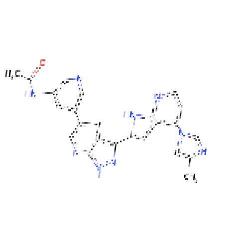 CC(=O)Nc1cncc(-c2cnc3[nH]nc(-c4cc5c(-n6cnc(C)c6)ccnc5[nH]4)c3c2)c1